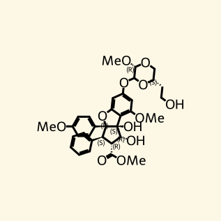 COC(=O)[C@H]1[C@@H](O)[C@@]2(O)c3c(OC)cc(OC4O[C@@H](CCO)CO[C@H]4OC)cc3O[C@@]2(c2ccc(OC)cc2)[C@@H]1c1ccccc1